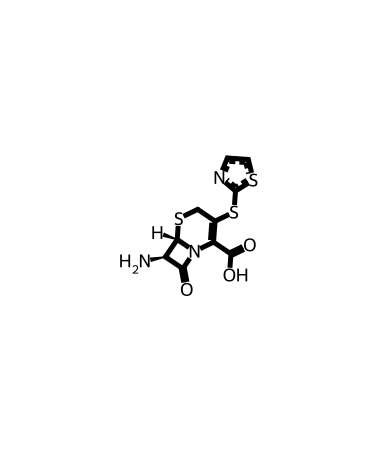 N[C@@H]1C(=O)N2C(C(=O)O)=C(Sc3nccs3)CS[C@@H]12